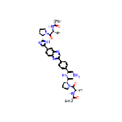 C=C(N/C(=C\N)c1ccc(-c2cnc3cc(-c4cnc([C@@H]5CCCN5C(=O)[C@@H](NC(=O)OC)C(C)C)[nH]4)ccc3n2)cc1)[C@@H]1CCCN1C(=O)[C@@H](NC(=O)OC)C(C)C